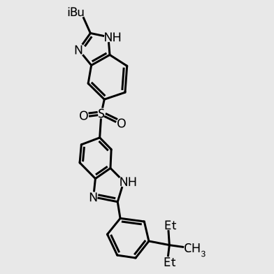 CCC(C)c1nc2cc(S(=O)(=O)c3ccc4nc(-c5cccc(C(C)(CC)CC)c5)[nH]c4c3)ccc2[nH]1